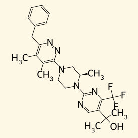 Cc1c(Cc2ccccc2)nnc(N2CCN(c3ncc(C(C)(C)O)c(C(F)(F)F)n3)[C@H](C)C2)c1C